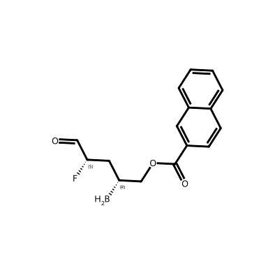 B[C@@H](COC(=O)c1ccc2ccccc2c1)C[C@H](F)C=O